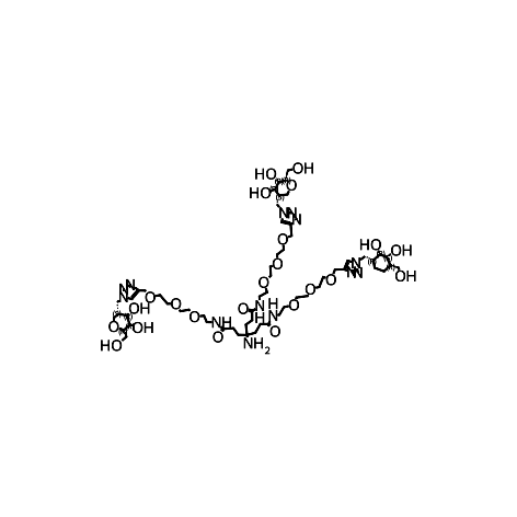 NC(CCC(=O)NCCOCCOCCOCc1cn(C[C@H]2CO[C@H](CO)[C@H](O)[C@@H]2O)nn1)(CCC(=O)NCCOCCOCCOCc1cn(C[C@H]2CO[C@H](CO)[C@H](O)[C@@H]2O)nn1)CCC(=O)NCCOCCOCCOCc1cn(C[C@H]2CC[C@H](CO)[C@H](O)[C@@H]2O)nn1